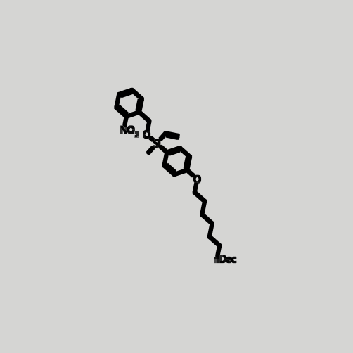 C=C[Si](C)(OCc1ccccc1[N+](=O)[O-])c1ccc(OCCCCCCCCCCCCCCCC)cc1